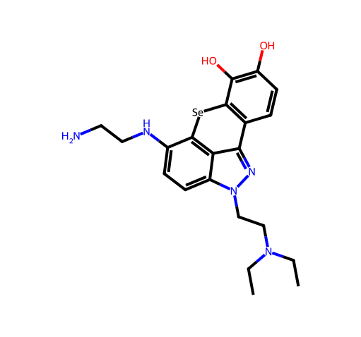 CCN(CC)CCn1nc2c3c(c(NCCN)ccc31)[Se]c1c-2ccc(O)c1O